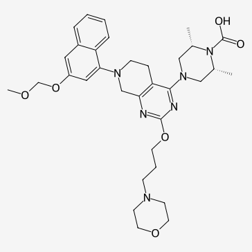 COCOc1cc(N2CCc3c(nc(OCCCN4CCOCC4)nc3N3C[C@@H](C)N(C(=O)O)[C@@H](C)C3)C2)c2ccccc2c1